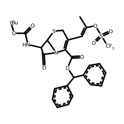 C/C(=C\C1=C(C(=O)OC(c2ccccc2)c2ccccc2)N2C(=O)C(NC(=O)OC(C)(C)C)C2SC1)OS(=O)(=O)C(F)(F)F